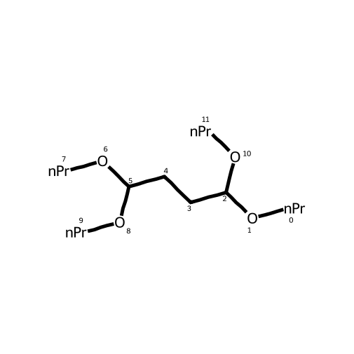 CCCOC(CCC(OCCC)OCCC)OCCC